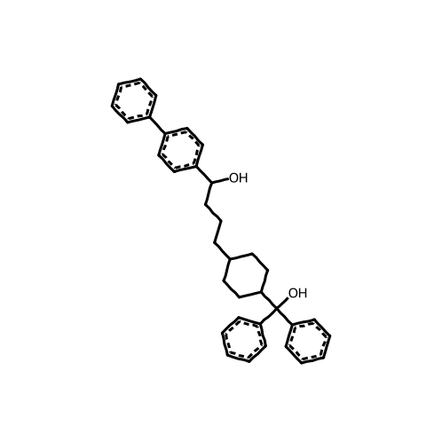 OC(CCCC1CCC(C(O)(c2ccccc2)c2ccccc2)CC1)c1ccc(-c2ccccc2)cc1